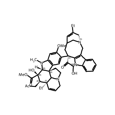 CCC1=CC2C[N@](C1)Cc1c([nH]c3ccccc13)[C@@](C(=O)CO)(c1cc3c(cc1OC)N(C)[C@H]1[C@@](O)(C(=O)OC)[C@H](CC(C)=O)[C@]4(CC)C=CCN5CC[C@]31C54)C2